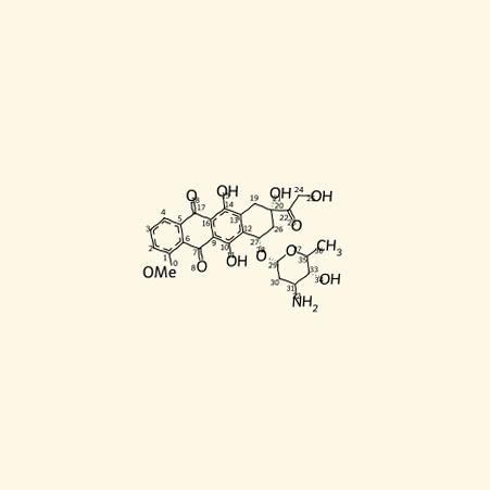 COc1cccc2c1C(=O)c1c(O)c3c(c(O)c1C2=O)C[C@@](O)(C(=O)CO)C[C@@H]3O[C@H]1CC(N)[C@@H](O)C(C)O1